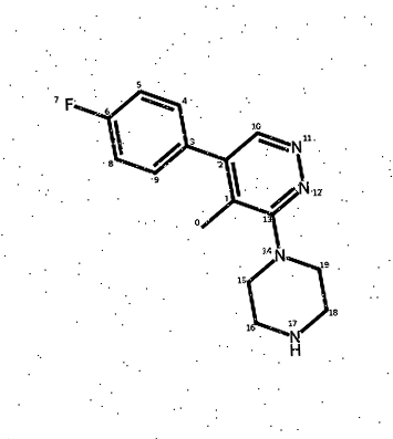 Cc1c(-c2ccc(F)cc2)cnnc1N1CCNCC1